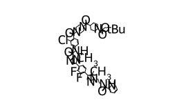 Cc1c(-c2ccc(-c3cnc(C(=O)Nc4ccc(C(=O)N5CCN(C(=O)C6CCN(C(=O)OC(C)(C)C)CC6)CC5)c(Cl)c4)n3C)c(F)c2F)cnn1CCNC(=O)c1ccccn1